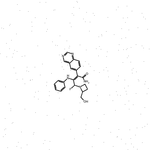 NC(=O)C(=C(Nc1ccccc1)C(F)N1CCC1CO)c1ccc2ncncc2c1